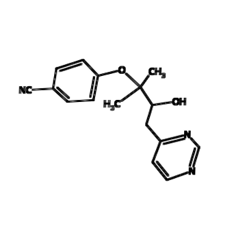 CC(C)(Oc1ccc(C#N)cc1)C(O)Cc1ccncn1